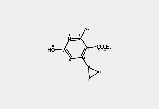 CCOC(=O)c1c(C2CC2)cc(O)nc1C